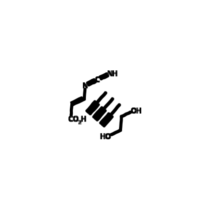 C#CC.C#CC.C#CC.N=C=NC=CC(=O)O.OCCO